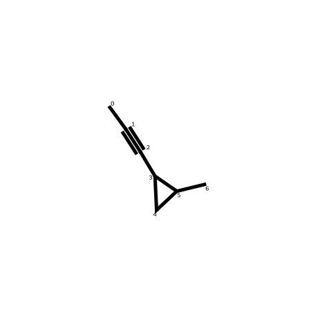 CC#CC1CC1C